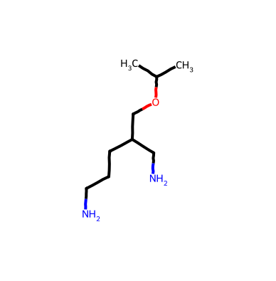 CC(C)OCC(CN)CCCN